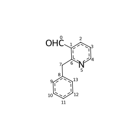 O=Cc1cccnc1Cc1ccccc1